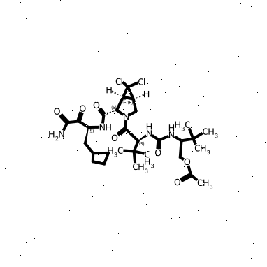 CC(=O)OCC(NC(=O)N[C@H](C(=O)N1C[C@H]2[C@@H]([C@H]1C(=O)N[C@@H](CC1CCC1)C(=O)C(N)=O)C2(Cl)Cl)C(C)(C)C)C(C)(C)C